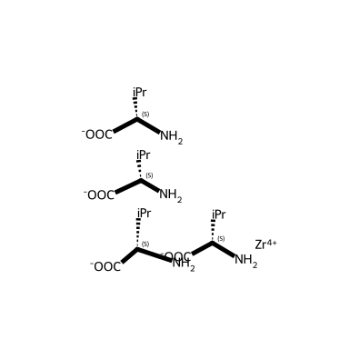 CC(C)[C@H](N)C(=O)[O-].CC(C)[C@H](N)C(=O)[O-].CC(C)[C@H](N)C(=O)[O-].CC(C)[C@H](N)C(=O)[O-].[Zr+4]